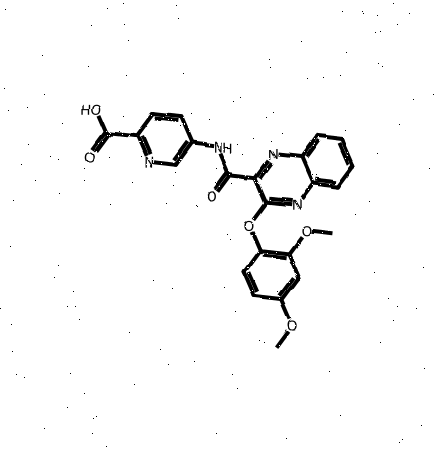 COc1ccc(Oc2nc3ccccc3nc2C(=O)Nc2ccc(C(=O)O)nc2)c(OC)c1